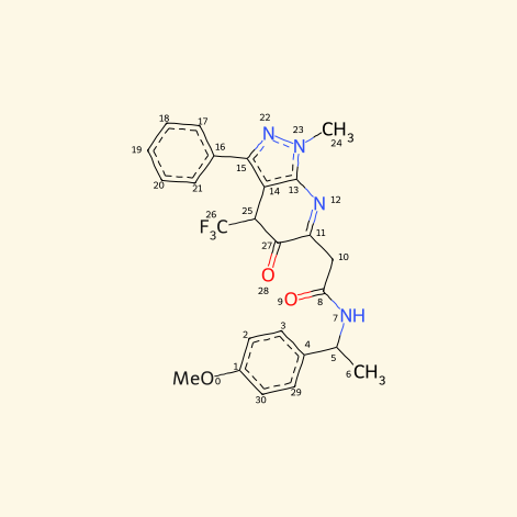 COc1ccc(C(C)NC(=O)CC2=Nc3c(c(-c4ccccc4)nn3C)C(C(F)(F)F)C2=O)cc1